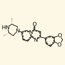 C[C@@H]1CN(c2ccc3nc(-c4ccc5c(c4)OCO5)cc(=O)n3c2)C[C@H](C)N1